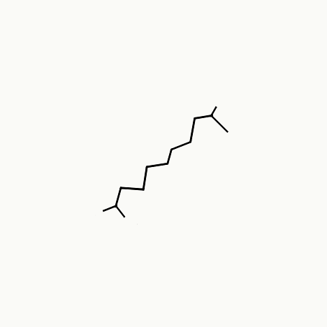 CC(C)CCCCCCCC(O)S